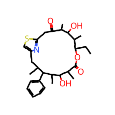 CCC1OC(=O)C(C)C(O)C(C)C(c2ccccc2)C(C)Cc2csc(n2)CC(=O)C(C)C(O)C1C